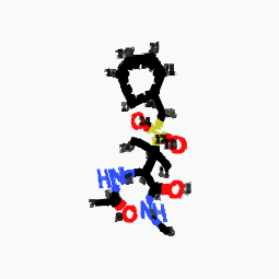 CNC(=O)C(NC(C)=O)C(C)(C)S(=O)(=O)Cc1ccccc1